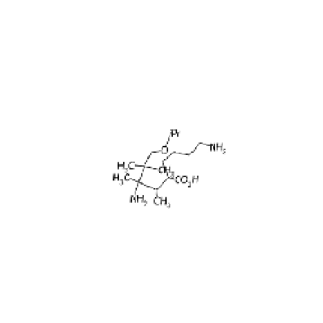 CC(C)OCC(C)(C)C(C)(N)C(C)[C@@H](CCCCN)C(=O)O